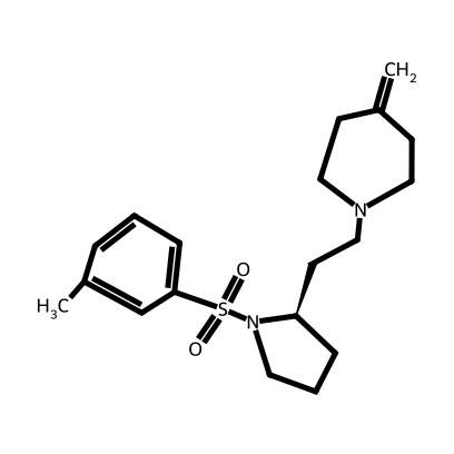 C=C1CCN(CC[C@H]2CCCN2S(=O)(=O)c2cccc(C)c2)CC1